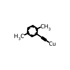 Cc1ccc(C)c(C#[C][Cu])c1